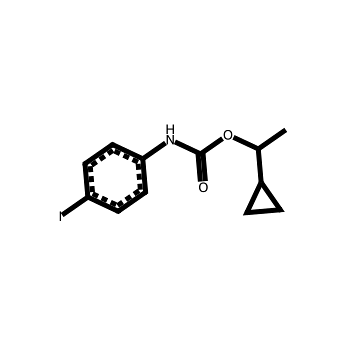 CC(OC(=O)Nc1ccc(I)cc1)C1CC1